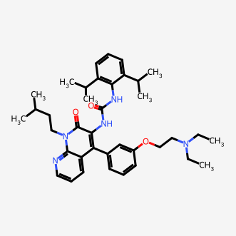 CCN(CC)CCOc1cccc(-c2c(NC(=O)Nc3c(C(C)C)cccc3C(C)C)c(=O)n(CCC(C)C)c3ncccc23)c1